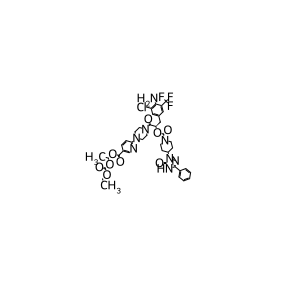 CCOC(=O)OC(C)OC(=O)c1ccc(N2CCN(C(=O)[C@@H](Cc3cc(Cl)c(N)c(C(F)(F)F)c3)OC(=O)N3CCC(n4nc(-c5ccccc5)[nH]c4=O)CC3)CC2)nc1